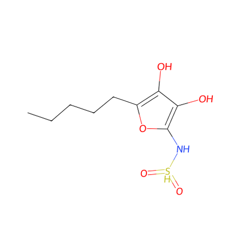 CCCCCc1oc(N[SH](=O)=O)c(O)c1O